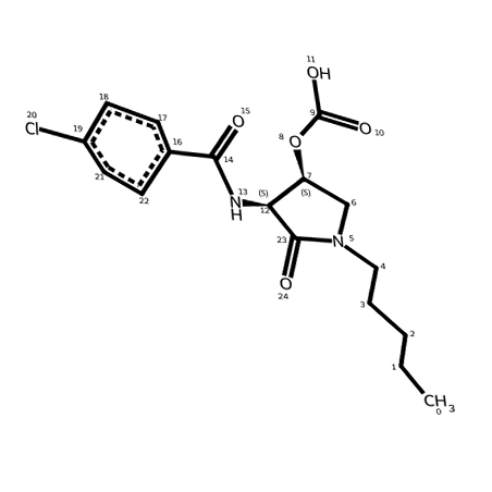 CCCCCN1C[C@H](OC(=O)O)[C@H](NC(=O)c2ccc(Cl)cc2)C1=O